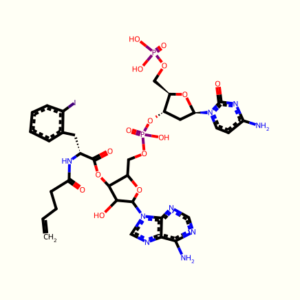 C=CCCC(=O)N[C@H](Cc1ccccc1I)C(=O)OC1C(COP(=O)(O)O[C@H]2C[C@H](n3ccc(N)nc3=O)O[C@@H]2COP(=O)(O)O)OC(n2cnc3c(N)ncnc32)C1O